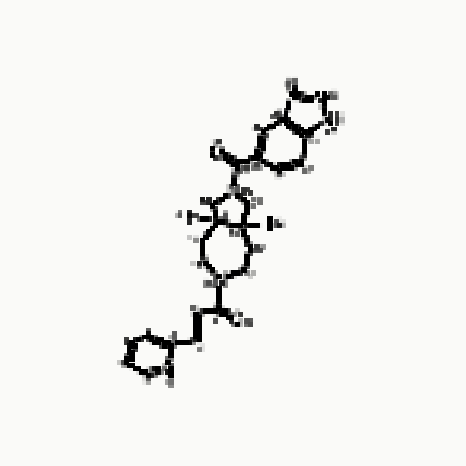 O=C(/C=C/c1ccccn1)N1CC[C@@H]2CN(C(=O)c3ccc4[nH]nnc4c3)C[C@@H]2CC1